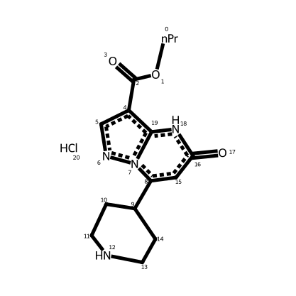 CCCOC(=O)c1cnn2c(C3CCNCC3)cc(=O)[nH]c12.Cl